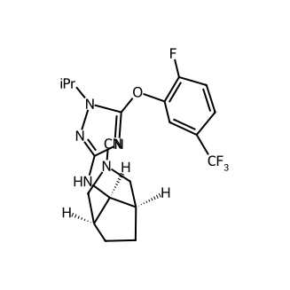 CC(C)n1nc(N[C@H]2[C@@H]3CC[C@H]2CN(C#N)C3)nc1Oc1cc(C(F)(F)F)ccc1F